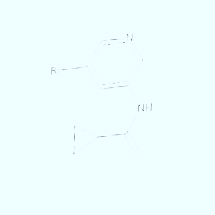 C=C(Nc1cncc(Br)c1)C1CC1